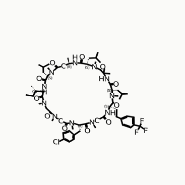 CC[C@H](C)[C@@H]1NC(=O)[C@H](CC(C)C)N(C)C(=O)C[C@@H](C)NC(=O)[C@H](CC(C)C)N(C)C(=O)C(C)(C)NC(=O)[C@H](CC(C)C)N(C)C(=O)[C@H](CCc2ccc(C(F)(F)F)cc2)NC(=O)CN(C)C(=O)[C@H](Cc2ccc(Cl)cc2)N(C)C(=O)CN(C)C(=O)CN(C)C1=O